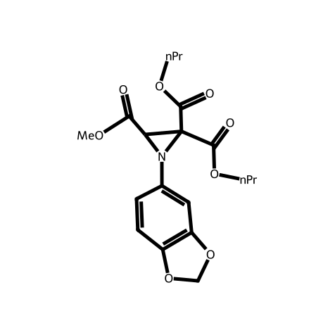 CCCOC(=O)C1(C(=O)OCCC)C(C(=O)OC)N1c1ccc2c(c1)OCO2